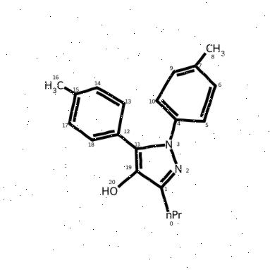 CCCc1nn(-c2ccc(C)cc2)c(-c2ccc(C)cc2)c1O